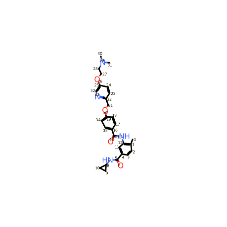 Cc1ccc(C(=O)NC2CC2)cc1NC(=O)c1ccc(OCc2ccc(OCCN(C)C)cn2)cc1